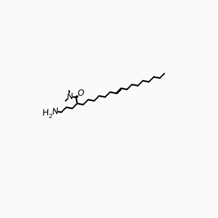 CCCCCCCCC=CCCCCCCC(CCCN)C(=O)N(C)C